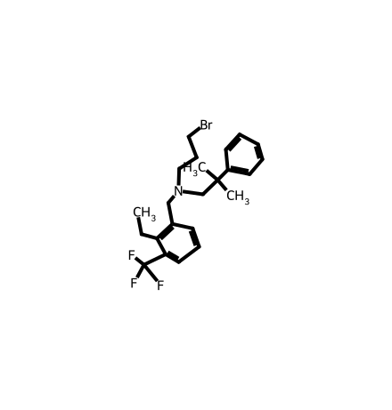 CCc1c(CN(CCCBr)CC(C)(C)c2ccccc2)cccc1C(F)(F)F